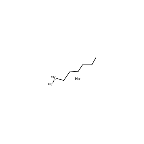 CCCCCC[13CH2][13CH3].[Na]